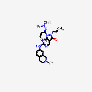 C=CCn1c(=O)c2cnc(Nc3ccc4c(c3)CN(C(C)C)CC4)nc2n1C(/C=C\C)=N/N(C=O)C(C)C